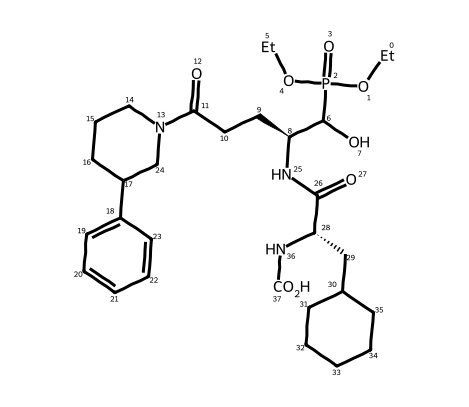 CCOP(=O)(OCC)C(O)[C@H](CCC(=O)N1CCCC(c2ccccc2)C1)NC(=O)[C@H](CC1CCCCC1)NC(=O)O